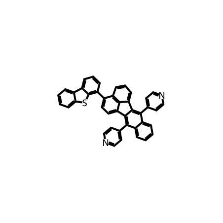 c1ccc2c(c1)sc1c(-c3ccc4c5c(cccc35)-c3c-4c(-c4ccncc4)c4ccccc4c3-c3ccncc3)cccc12